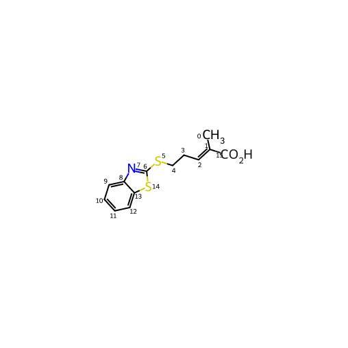 CC(=CCCSc1nc2ccccc2s1)C(=O)O